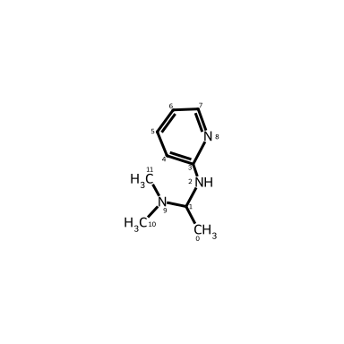 CC(Nc1ccccn1)N(C)C